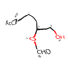 CC(=O)OCC(CO)OC=O